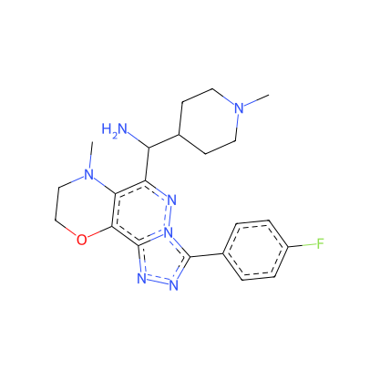 CN1CCC(C(N)c2nn3c(-c4ccc(F)cc4)nnc3c3c2N(C)CCO3)CC1